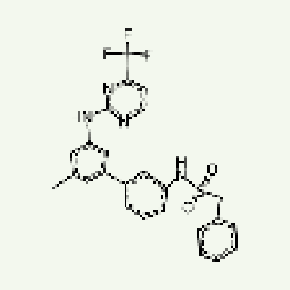 Cc1cc(Nc2nccc(C(F)(F)F)n2)cc(-c2cccc(NS(=O)(=O)Cc3ccccc3)c2)c1